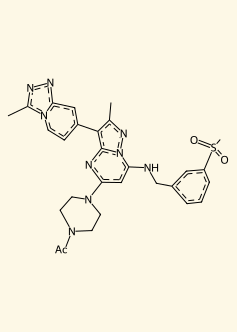 CC(=O)N1CCN(c2cc(NCc3cccc(S(C)(=O)=O)c3)n3nc(C)c(-c4ccn5c(C)nnc5c4)c3n2)CC1